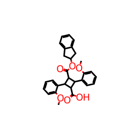 COc1ccccc1C1C(C(=O)O)C(c2ccccc2OC)C1C(=O)OC1Cc2ccccc2C1